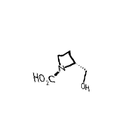 O=C(O)N1CC[C@@H]1CO